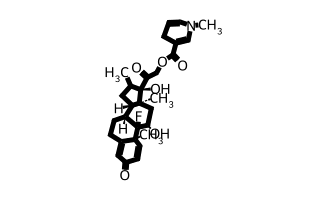 CC1C[C@H]2[C@@H]3CCC4=CC(=O)C=C[C@]4(C)C3(F)[C@@H](O)C[C@]2(C)[C@@]1(O)C(=O)COC(=O)C1=CN(C)C=CC1